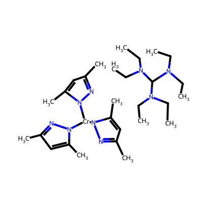 CCN(CC)C(N(CC)CC)N(CC)CC.Cc1cc(C)[n]([Cr]([n]2nc(C)cc2C)[n]2nc(C)cc2C)n1